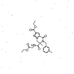 CCOC(=O)CNC(=O)C1(C)Cn2nc(C(=O)OCC)cc2C(=O)N1Cc1cccc(C)c1